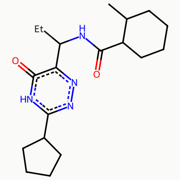 CCC(NC(=O)C1CCCCC1C)c1nnc(C2CCCC2)[nH]c1=O